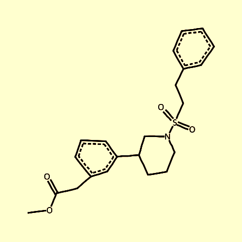 COC(=O)Cc1cccc(C2CCCN(S(=O)(=O)CCc3ccccc3)C2)c1